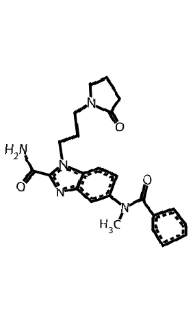 CN(C(=O)c1ccccc1)c1ccc2c(c1)nc(C(N)=O)n2CCCN1CCCC1=O